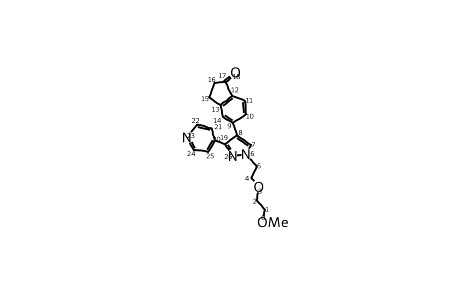 COCCOCCn1cc(-c2ccc3c(c2)CCC3=O)c(-c2ccncc2)n1